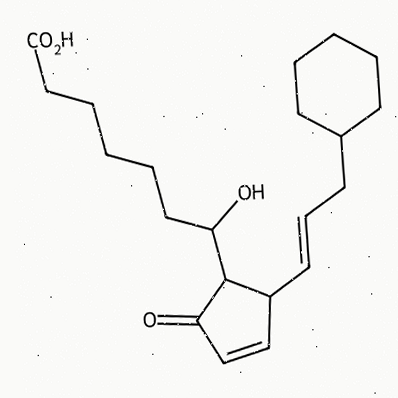 O=C(O)CCCCCC(O)C1C(=O)C=CC1C=CCC1CCCCC1